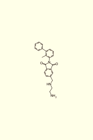 Cc1c(-c2ccccc2)cccc1N1C(=O)c2ccc(CNCCN)cc2C1=O